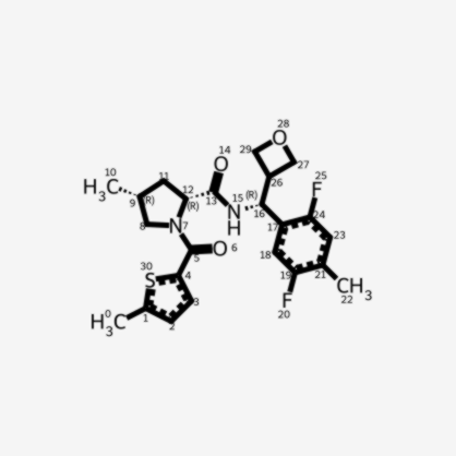 Cc1ccc(C(=O)N2C[C@H](C)C[C@@H]2C(=O)N[C@@H](c2cc(F)c(C)cc2F)C2COC2)s1